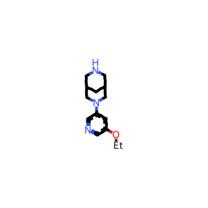 CCOc1cncc(N2CC3CNCC(C3)C2)c1